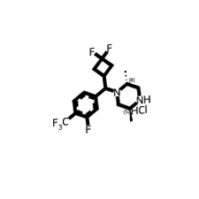 C[C@@H]1CN[C@@H](C)CN1C(c1ccc(C(F)(F)F)c(F)c1)C1CC(F)(F)C1.Cl